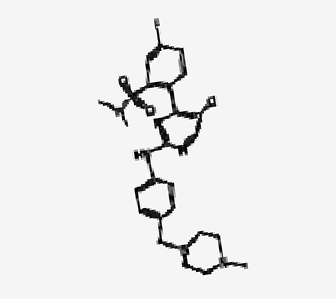 CN1CCN(Cc2ccc(Nc3ncc(Cl)c(-c4ccc(F)cc4S(=O)(=O)N(C)C)n3)cc2)CC1